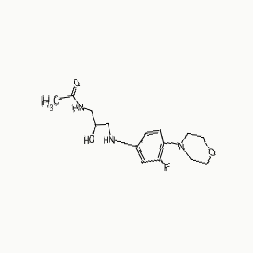 CC(=O)NC[C@H](O)CNc1ccc(N2CCOCC2)c(F)c1